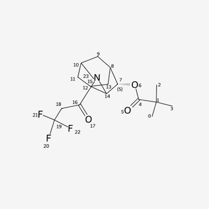 CC(C)(C)C(=O)O[C@H]1C2CC3CC(C2)C1N(C(=O)CC(F)(F)F)C3